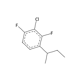 CCC(C)c1ccc(F)c(Cl)c1F